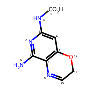 Nc1nc(NC(=O)O)cc2c1N=CCO2